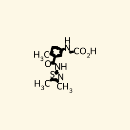 Cc1ccc(NCC(=O)O)cc1C(=O)Nc1nc(C)c(C)s1